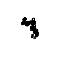 O=C(c1cccc(Cn2cc(-c3nc(-c4ccc(OC(F)(F)F)cc4)no3)ccc2=O)c1)N1CCC1